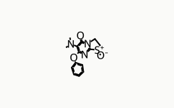 CN(C)c1c(Oc2ccccc2)nc2n(c1=O)CC[S+]2[O-]